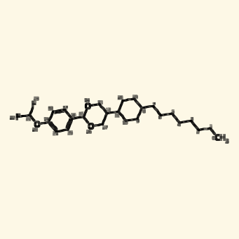 CCCCCCCCC1CCC(C2COC(c3ccc(OC(F)F)cc3)OC2)CC1